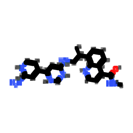 CNC(=O)c1ccnc2c([C@H](C)CNc3cc(-c4ccnc(N)c4)ncn3)cccc12